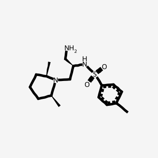 Cc1ccc(S(=O)(=O)N[C@H](CN)CN2[C@H](C)CCC[C@@H]2C)cc1